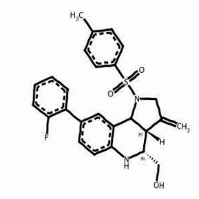 C=C1CN(S(=O)(=O)c2ccc(C)cc2)C2c3cc(-c4ccccc4F)ccc3N[C@@H](CO)[C@@H]12